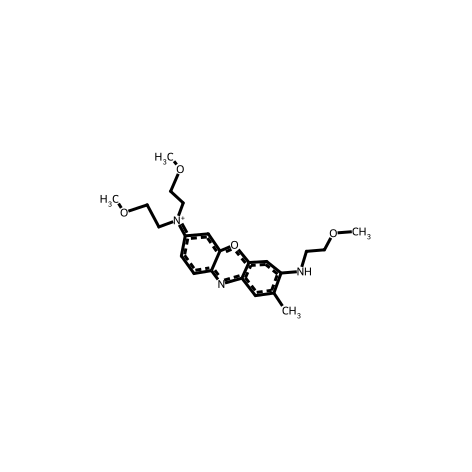 COCCNc1cc2oc3cc(=[N+](CCOC)CCOC)ccc-3nc2cc1C